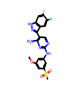 COc1cc(Nc2ncc(-c3n[nH]c4cc(F)c(F)cc34)c(N)n2)cc(S(C)(=O)=O)c1